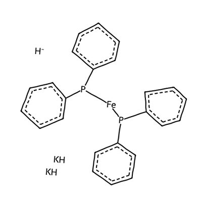 [H-].[KH].[KH].c1ccc([P]([Fe][P](c2ccccc2)c2ccccc2)c2ccccc2)cc1